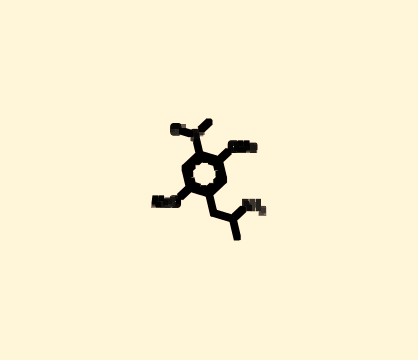 COc1cc([S+](C)[O-])c(OC)cc1CC(C)N